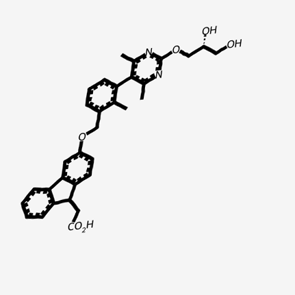 Cc1nc(OC[C@H](O)CO)nc(C)c1-c1cccc(COc2ccc3c(c2)-c2ccccc2C3CC(=O)O)c1C